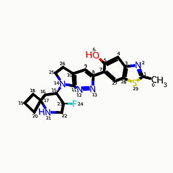 Cc1nc2cc(O)c(-c3cc4c(nn3)N([C@@H]3CC5(CCC5)NC[C@@H]3F)CC4)cc2s1